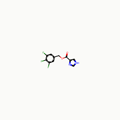 O=C(OCc1cc(F)c(F)c(F)c1)c1c[nH]cn1